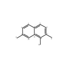 Cc1ccc2ccc(C)c(C)c2c1